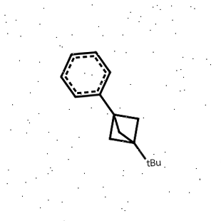 CC(C)(C)C12CC(c3ccccc3)(C1)C2